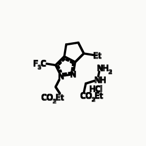 CCOC(=O)CNN.CCOC(=O)Cn1nc2c(c1C(F)(F)F)CCC2CC.Cl